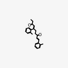 CCC(=O)C=C(CCC(=O)C=Cc1ccccc1C)c1ccccc1C